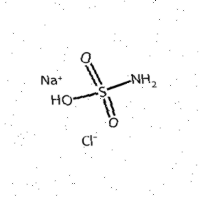 NS(=O)(=O)O.[Cl-].[Na+]